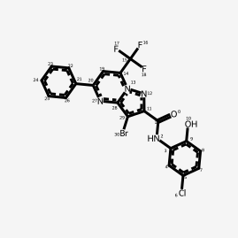 O=C(Nc1cc(Cl)ccc1O)c1nn2c(C(F)(F)F)cc(-c3ccccc3)nc2c1Br